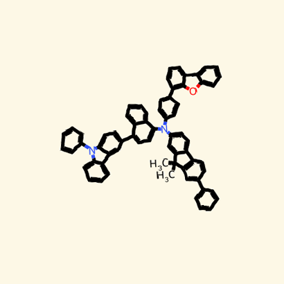 CC1(C)c2cc(-c3ccccc3)ccc2-c2ccc(N(c3ccc(-c4cccc5c4oc4ccccc45)cc3)c3ccc(-c4ccc5c(c4)c4ccccc4n5-c4ccccc4)c4ccccc34)cc21